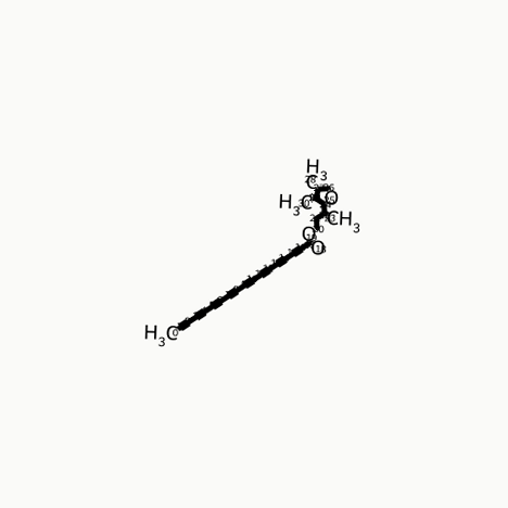 CC#CC#CC#CC#CC#CC#CC#CC#CC(=O)OCCC(C)C1OCC(C)[C@@H]1C